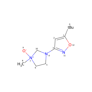 CC(C)(C)c1cc(N2CC[N+](C)([O-])C2)no1